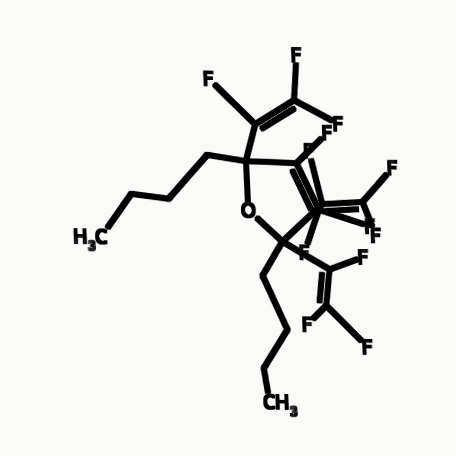 CCCCC(OC(CCCC)(C(F)=C(F)F)C(F)=C(F)F)(C(F)=C(F)F)C(F)=C(F)F